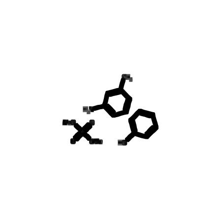 COS(=O)(=O)OC.Cc1cccc(N)c1.Oc1ccccc1